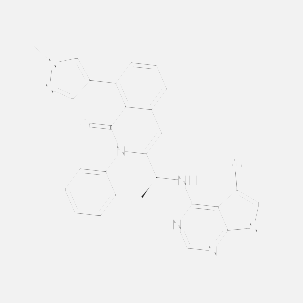 CC(=O)c1c[nH]c2ncnc(N[C@@H](C)c3cc4cccc(-c5cnn(C)c5)c4c(=O)n3-c3ccccc3)c12